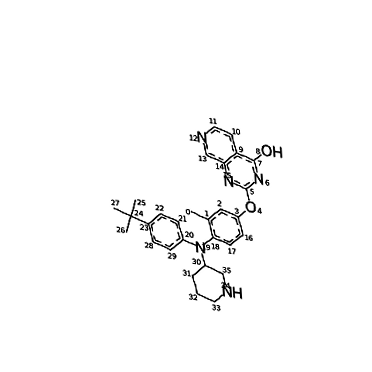 Cc1cc(Oc2nc(O)c3ccncc3n2)ccc1N(c1ccc(C(C)(C)C)cc1)C1CCCNC1